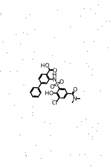 CN(C)C(=O)c1cc(Cl)c(O)c(S(=O)(=O)Nc2cc(-c3ccccc3)ccc2C(=O)O)c1